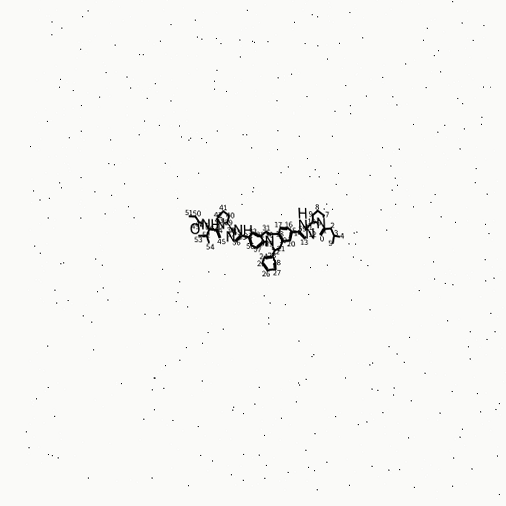 C=C(CC(C)C)N1CCCC1c1ncc(-c2ccc3c(c2)CC(c2ccccc2)n2c-3cc3cc(-c4cnc([C@@H]5CCCN5C(=C)C(NC(=O)CC)C(C)C)[nH]4)ccc32)[nH]1